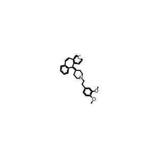 COc1ccc(CCN2CCC(=C3c4ccccc4C=Cc4ccccc43)CC2)cc1OC